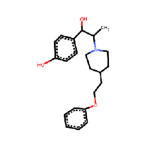 CC(C(O)c1ccc(O)cc1)N1CCC(CCOc2ccccc2)CC1